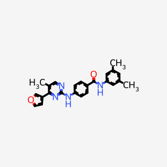 Cc1cc(C)cc(NC(=O)c2ccc(Nc3ncc(C)c(-c4ccoc4)n3)cc2)c1